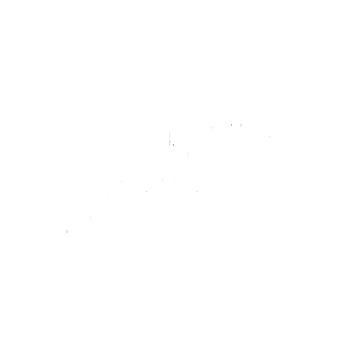 Cc1c(-c2[nH]c3ccc(C4CN(C(C)C)C4)cc3c2C(C)C)cn(C)c(=O)c1C